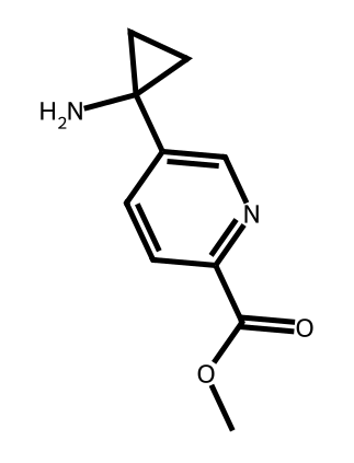 COC(=O)c1ccc(C2(N)CC2)cn1